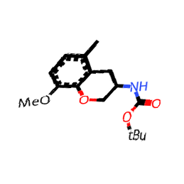 COc1ccc(C)c2c1OCC(NC(=O)OC(C)(C)C)C2